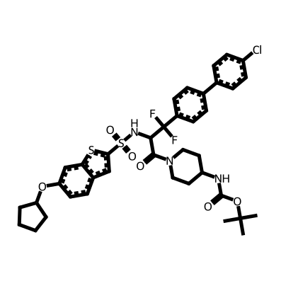 CC(C)(C)OC(=O)NC1CCN(C(=O)C(NS(=O)(=O)c2cc3ccc(OC4CCCC4)cc3s2)C(F)(F)c2ccc(-c3ccc(Cl)cc3)cc2)CC1